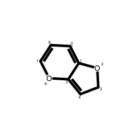 [C]1=C2OCC=C2OC=C1